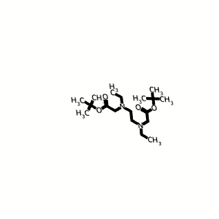 CCN(CCN(CC)CC(=O)OC(C)(C)C)CC(=O)OC(C)(C)C